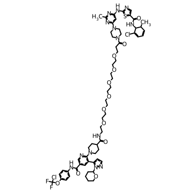 Cc1nc(Nc2ncc(C(=O)NC3C(Cl)=CC=CC3C)s2)cc(N2CCN(C(=O)CCOCCOCCOCCOCCOCCOCCNC(=O)C3CCN(c4ncc(C(=O)Nc5ccc(OC(F)(F)Cl)cc5)cc4-c4ccnn4C4CCCCO4)CC3)CC2)n1